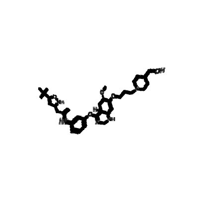 C=C(CC1C=C(C(C)(C)C)ON1)Nc1cccc(OC2=NCNC3C=C(OCCCN4CCC(CO)CC4)[C@@H](OC)C[C@@H]23)c1